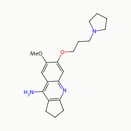 COc1cc2c(N)c3c(nc2cc1OCCCN1CCCC1)CCC3